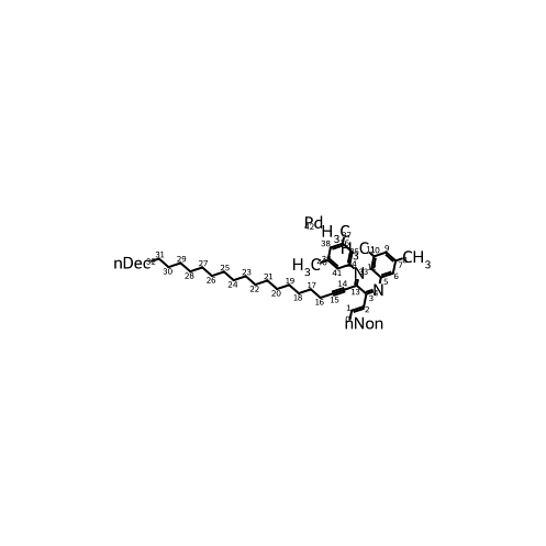 CCCCCCCCCC=CC(=Nc1cc(C)cc(C)c1)C(C#CCCCCCCCCCCCCCCCCCCCCCCCCCC)=Nc1cc(C)cc(C)c1.[Pd]